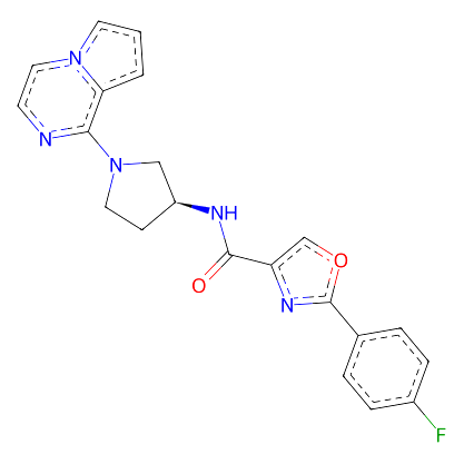 O=C(N[C@H]1CCN(c2nccn3cccc23)C1)c1coc(-c2ccc(F)cc2)n1